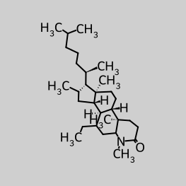 CCC1CC2N(C)C(=O)CC[C@]2(C)[C@H]2CC[C@]3(C)[C@@H]([C@H](C)CCCC(C)C)C(C)C[C@H]3[C@H]12